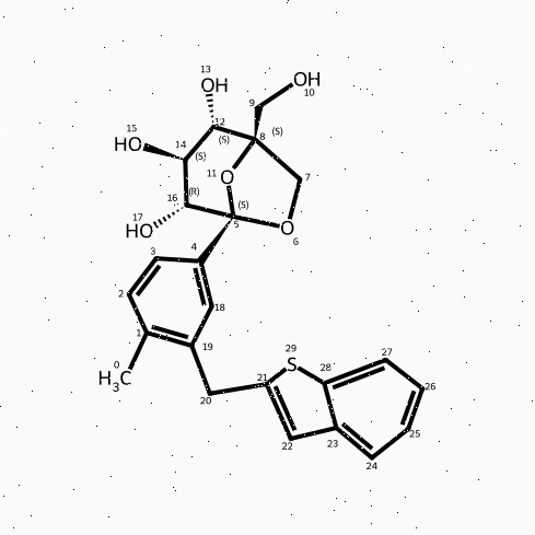 Cc1ccc([C@]23OC[C@](CO)(O2)[C@@H](O)[C@H](O)[C@H]3O)cc1Cc1cc2ccccc2s1